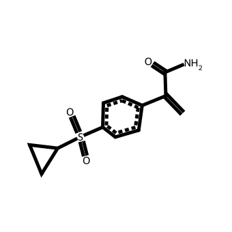 C=C(C(N)=O)c1ccc(S(=O)(=O)C2CC2)cc1